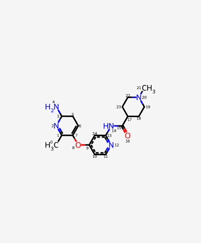 CC1=NC(N)CC=C1Oc1ccnc(NC(=O)C2CCN(C)CC2)c1